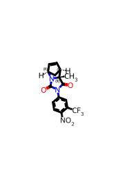 C[C@@]12C(=O)N(c3ccc([N+](=O)[O-])c(C(F)(F)F)c3)C(=O)N1[C@H]1C=C[C@@H]2C1